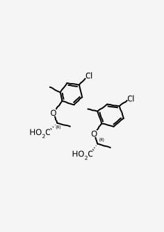 Cc1cc(Cl)ccc1O[C@H](C)C(=O)O.Cc1cc(Cl)ccc1O[C@H](C)C(=O)O